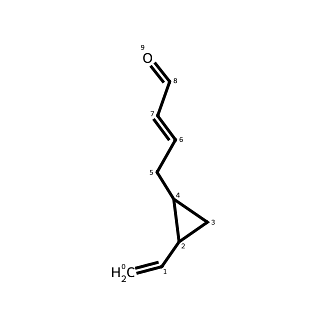 C=CC1CC1CC=CC=O